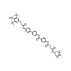 CN1C(C)(C)CC(OC(=O)CCC(=O)Oc2ccc(C(=O)Oc3ccc(-c4ccc(OC(=O)CCc5cc(C(C)(C)C)c(O)c(C(C)(C)C)c5)cc4)cc3)cc2)CC1(C)C